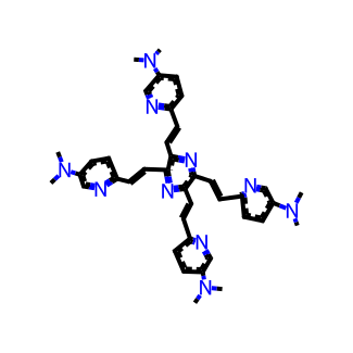 CN(C)c1ccc(C=Cc2nc(C=Cc3ccc(N(C)C)cn3)c(C=Cc3ccc(N(C)C)cn3)nc2C=Cc2ccc(N(C)C)cn2)nc1